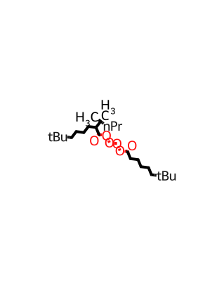 CCCC(C)(C)C(CCCCC(C)(C)C)C(=O)OOOOC(=O)CCCCCC(C)(C)C